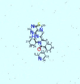 Cc1cc(-c2cccc3cc([C@H](C)Nc4ncnc5scnc45)n(-c4ccccc4)c(=O)c23)ccn1